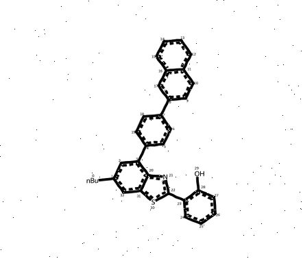 CCCCc1cc(-c2ccc(-c3ccc4ccccc4c3)cc2)c2nc(-c3ccccc3O)sc2c1